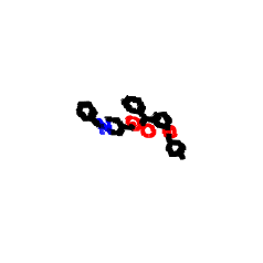 Cc1ccc(COc2cccc(C(C(=O)OCC3CCN(Cc4ccccc4)CC3)c3ccccc3)c2)cc1